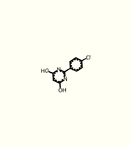 Oc1cc(O)nc(-c2ccc(Cl)cc2)n1